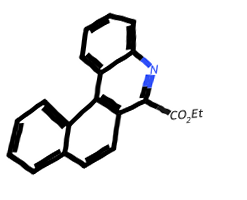 CCOC(=O)c1nc2ccccc2c2c1ccc1ccccc12